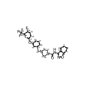 O=C(Nc1noc2ccccc12)N1CCN(Cc2cccc(Oc3ccc(F)c(C(F)(F)F)c3)c2)CC1